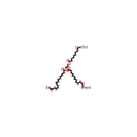 CCCCCCCCC1OC1CCCCCCCC(=O)OCC(COC(=O)CCCCCCC/C=C\C/C=C\CC1OC1CC)OC(=O)CCCCCCC/C=C\CC1OC1CCCCC